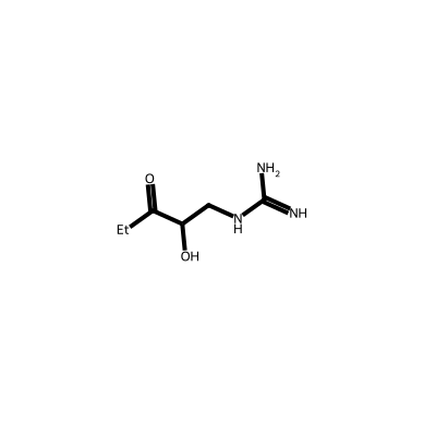 CCC(=O)C(O)CNC(=N)N